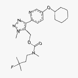 CN(CCC(C)(C)F)C(=O)OCc1c(-c2ccc(OC3CCCCC3)cn2)nnn1C